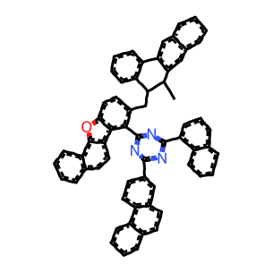 CC1c2cc3ccccc3cc2-c2ccccc2C1Cc1ccc2oc3c4ccccc4ccc3c2c1-c1nc(-c2ccc3c(ccc4ccccc43)c2)nc(-c2cccc3ccccc23)n1